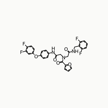 O=C(CN(CC(=O)Nc1ccc(Oc2ccc(F)c(F)c2)cc1)C(=O)c1ccco1)NCc1c(F)cccc1F